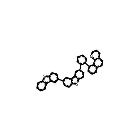 c1ccc(-c2cccc3ccc4cccnc4c23)c(-c2ccc3sc4ccc(-c5ccc6sc7ccccc7c6c5)cc4c3c2)c1